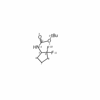 CC(C)(C)OC(=O)NC1CCCC1(F)F